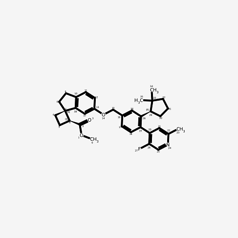 COC(=O)[C@H]1CC[C@]12CCc1ccc(OCc3ccc(-c4cc(C)ncc4F)c([C@@H]4CCCC4(C)C)c3)cc12